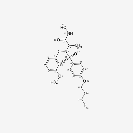 COc1cccc(CN([C@H](C)C(=O)NO)S(=O)(=O)c2ccc(OCCCF)cc2)c1